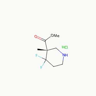 COC(=O)[C@]1(C)CNCCC1(F)F.Cl